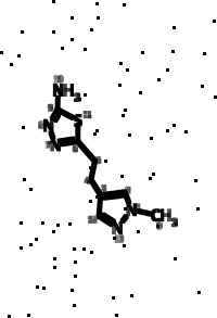 Cn1cc(CCc2nnc(N)s2)cn1